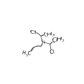 C=CCN(C(C)Cl)C(C)Cl